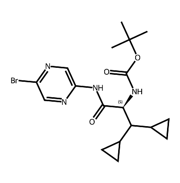 CC(C)(C)OC(=O)N[C@H](C(=O)Nc1cnc(Br)cn1)C(C1CC1)C1CC1